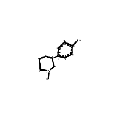 CN1CCC[C@@H](c2ccc(F)cc2)C1